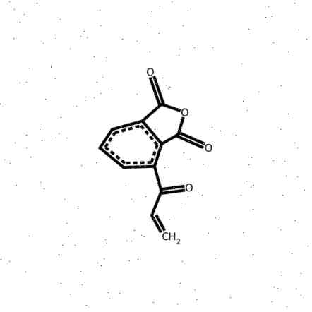 C=CC(=O)c1cccc2c1C(=O)OC2=O